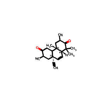 C#C[C@@]12C=C[C@H]3C(C)(C)C(=O)C(C#N)C[C@@]3(C)C1CC(=O)C(C#N)C2